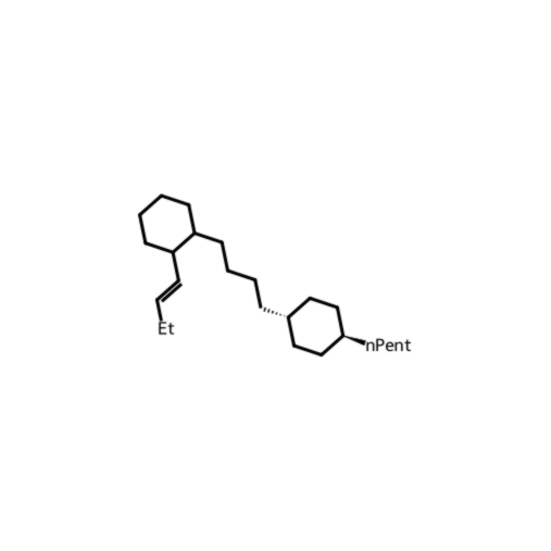 CC/C=C/C1CCCCC1CCCC[C@H]1CC[C@H](CCCCC)CC1